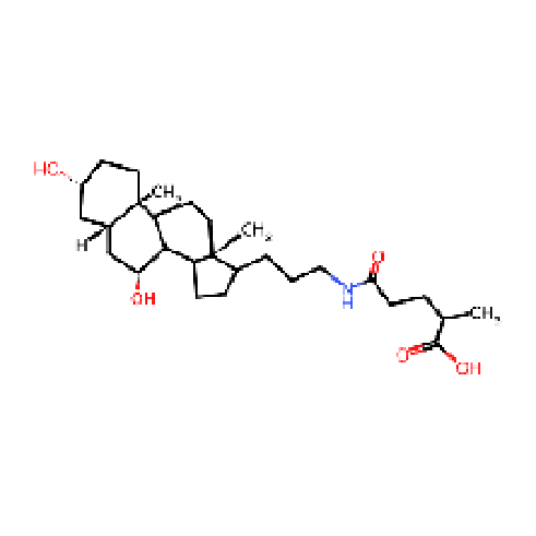 CC(CCC(=O)NCCCC1CCC2C3C(CC[C@]12C)[C@@]1(C)CC[C@@H](O)C[C@H]1C[C@@H]3O)C(=O)O